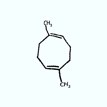 CC1=CCCC(C)=CCC1